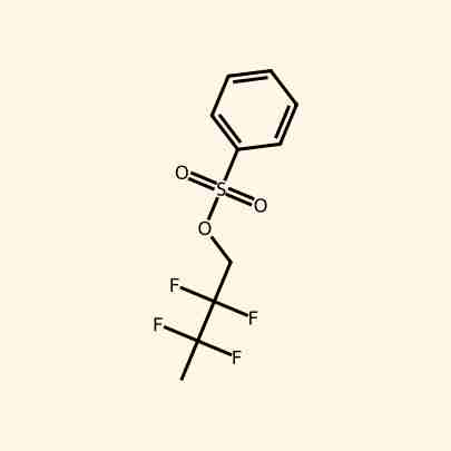 CC(F)(F)C(F)(F)COS(=O)(=O)c1ccccc1